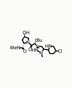 CNC(=O)[C@@H]1C[C@@H](O)CN1C(=O)[C@@H](N1CC(C2CCC(Cl)CN2)N(C)N1)C(C)(C)C